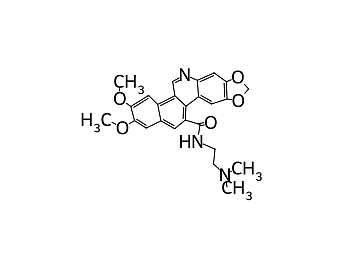 COc1cc2cc(C(=O)NCCN(C)C)c3c4cc5c(cc4ncc3c2cc1OC)OCO5